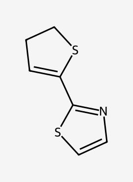 C1=C(c2nccs2)SCC1